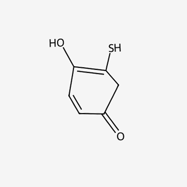 O=C1C=CC(O)=C(S)C1